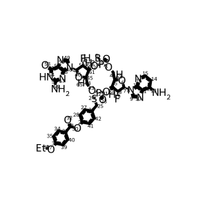 B[P@@]1(=O)OC[C@H]2O[C@@H](n3cnc4c(N)ccnc43)[C@H](F)[C@@H]2O[P@](=O)(SCc2ccc(OC(=O)c3ccc(OCC)cc3)cc2)OC[C@H]2O[C@@H](n3cnc4c(=O)[nH]c(N)nc43)[C@H](F)[C@@H]2O1